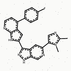 Cc1ncc(-c2cc3c(-c4cc5c(-c6ccc(F)cc6)ccnc5[nH]4)n[nH]c3cn2)n1C